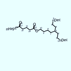 CCCCCCCCCCCCC(CCCCCCCCCCCC)CCCCOC(=O)CCCC(=O)CCCCCCC